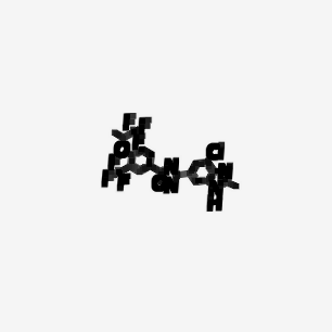 Cc1nc2c(Cl)cc(-c3noc(-c4ccc(OC(C)C(F)(F)F)c(C(F)(F)F)c4)n3)cc2[nH]1